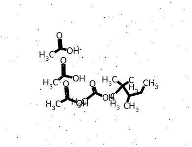 CC(=O)O.CC(=O)O.CC(=O)O.CC(=O)O.CCC(C)C(C)(C)C